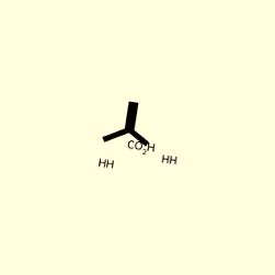 C=C(C)C(=O)O.[HH].[HH]